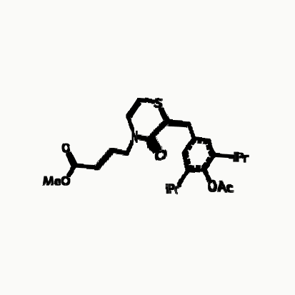 COC(=O)CCCN1C=CSC(=Cc2cc(C(C)C)c(OC(C)=O)c(C(C)C)c2)C1=O